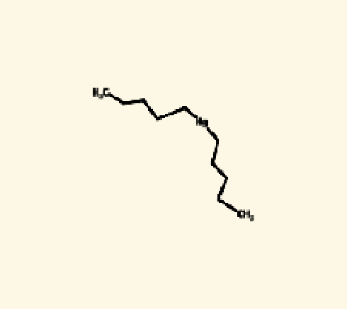 CCCC[CH2][Hg][CH2]CCCC